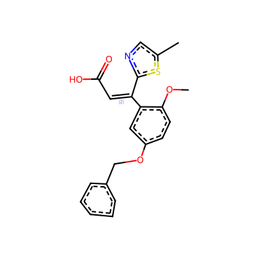 COc1ccc(OCc2ccccc2)cc1/C(=C/C(=O)O)c1ncc(C)s1